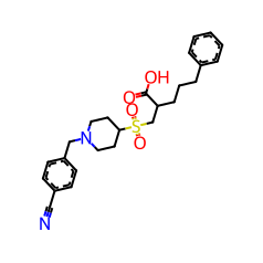 N#Cc1ccc(CN2CCC(S(=O)(=O)CC(CCCc3ccccc3)C(=O)O)CC2)cc1